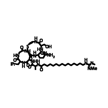 C/N=C(\NC)NCCCCCCCCCCCCCCC(=O)NC(C)C(=O)NC1CC2(CS/C=C\NC(=O)C(CO)NC(O)C(CCC(N)=O)NC2=O)NC(=O)CNC(=O)C(CC(C)C)NC1=O